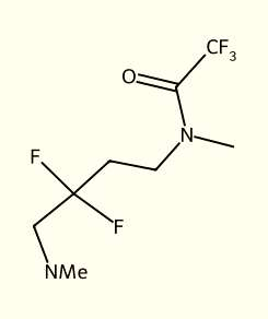 CNCC(F)(F)CCN(C)C(=O)C(F)(F)F